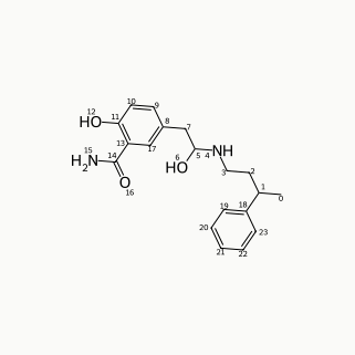 CC(CCNC(O)Cc1ccc(O)c(C(N)=O)c1)c1ccccc1